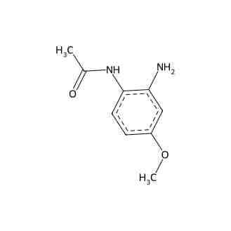 COc1ccc(NC(C)=O)c(N)c1